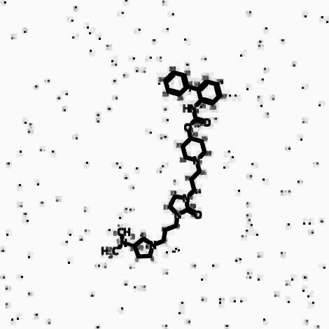 CN(C)[C@@H]1CCN(CCCN2CCN(CCCN3CCC(OC(=O)Nc4ccccc4-c4ccccc4)CC3)C2=O)C1